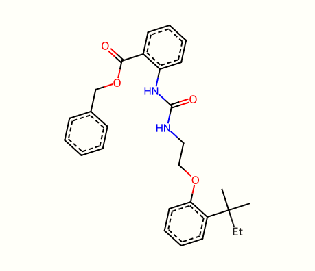 CCC(C)(C)c1ccccc1OCCNC(=O)Nc1ccccc1C(=O)OCc1ccccc1